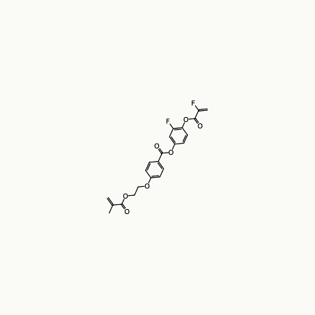 C=C(C)C(=O)OCCOc1ccc(C(=O)Oc2ccc(OC(=O)C(=C)F)c(F)c2)cc1